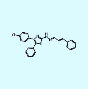 Clc1ccc(-c2nc(N/N=C/C=C/c3ccccc3)sc2-c2ccccc2)cc1